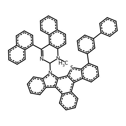 CN1c2ccc3ccccc3c2C(c2cccc3ccccc23)=NC1n1c2ccccc2c2c3ccccc3c3c4cccc(-c5cccc(-c6ccccc6)c5)c4sc3c21